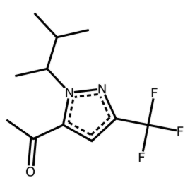 CC(=O)c1cc(C(F)(F)F)nn1C(C)C(C)C